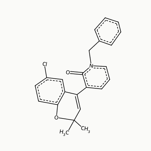 CC1(C)C=C(c2cccn(Cc3ccccc3)c2=O)c2cc(Cl)ccc2O1